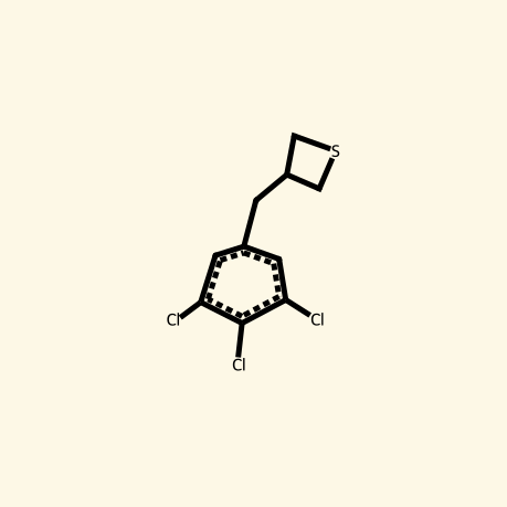 Clc1cc(CC2CSC2)cc(Cl)c1Cl